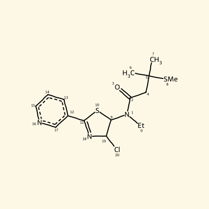 CCN(C(=O)CC(C)(C)SC)C1SC(c2cccnc2)=NC1Cl